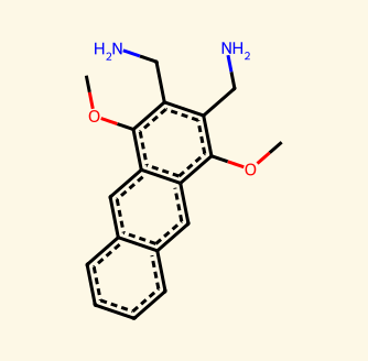 COc1c(CN)c(CN)c(OC)c2cc3ccccc3cc12